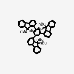 CCCCC1(CCCC)c2ccccc2-c2cccc(-c3cc(-c4cccc5c4C(CCCC)(CCCC)c4ccccc4-5)cc(-c4cccc5c4C(CCCC)(CCCC)c4ccccc4-5)c3)c21